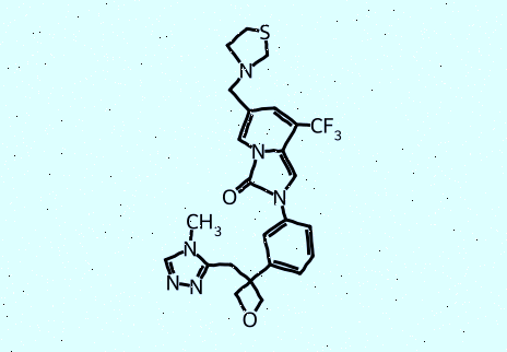 Cn1cnnc1CC1(c2cccc(-n3cc4c(C(F)(F)F)cc(CN5CCSC5)cn4c3=O)c2)COC1